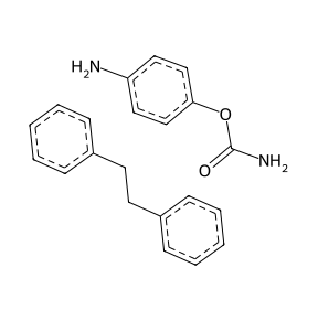 NC(=O)Oc1ccc(N)cc1.c1ccc(CCc2ccccc2)cc1